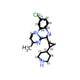 CC1C=CN2C(=N1)C(C1CC1C1CCNCC1)=Nc1ccc(Cl)cc12